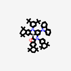 CC(C)(C)c1cc(N2c3cc4c(cc3B3c5oc6cc7c(cc6c5N(c5ccc6c(c5)C(C)(C)CCC6(C)C)c5cc(-n6c8ccccc8c8ccccc86)cc2c53)C(C)(C)CCC7(C)C)C(C)(C)CCC4(C)C)cc(C(C)(C)C)c1